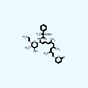 C/C=C/[C@@H]1O[C@H](C(/C=C/C=C(\C)CC(C)/C=C(C)\C=C\[C@H]2CC=CC(=O)O2)NC(=O)[C@@](OC)(c2ccccc2)C(F)(F)F)C[C@@H](O)[C@@H]1C